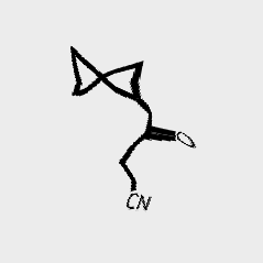 N#CCC(=O)C1CC12CC2